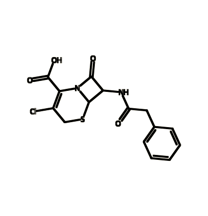 O=C(Cc1ccccc1)NC1C(=O)N2C(C(=O)O)=C(Cl)CSC12